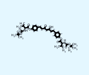 CC(C)[C@H](NC(=O)OC(C)(C)C)C(=O)Oc1ccc(C=CC(=O)C=C(O)C=Cc2ccc(OC(=O)[C@@H](NC(=O)OC(C)(C)C)C(C)C)cc2)cc1